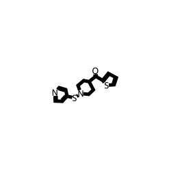 O=C(c1cccs1)C1CCN(Sc2ccncc2)CC1